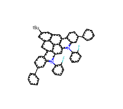 CC(C)(C)c1cc2cc3c4ccc(-c5ccccc5)cc4n(-c4ccccc4F)c4cc5c6c(cc(c1)c2c6c34)c1ccc(-c2ccccc2)cc1n5-c1ccccc1F